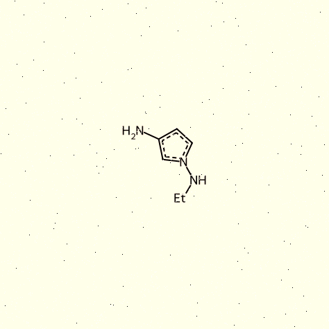 CCNn1ccc(N)c1